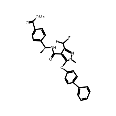 COC(=O)c1ccc([C@H](C)NC(=O)c2c(C(F)F)nn(C)c2Oc2ccc(-c3ccccc3)cc2)cc1